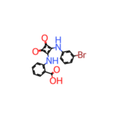 O=C(O)c1ccccc1Nc1c(Nc2cccc(Br)c2)c(=O)c1=O